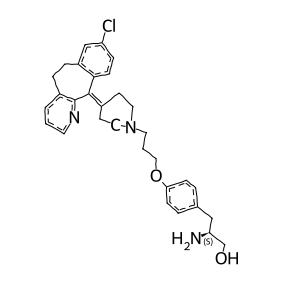 N[C@H](CO)Cc1ccc(OCCCN2CCC(=C3c4ccc(Cl)cc4CCc4cccnc43)CC2)cc1